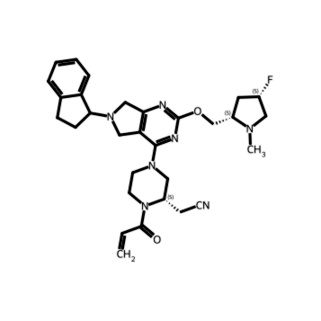 C=CC(=O)N1CCN(c2nc(OC[C@@H]3C[C@H](F)CN3C)nc3c2CN(C2CCc4ccccc42)C3)C[C@@H]1CC#N